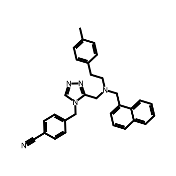 Cc1ccc(CCN(Cc2cccc3ccccc23)Cc2nncn2Cc2ccc(C#N)cc2)cc1